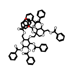 O=C(OCC1OC(OC(=O)c2ccccc2)C(OC(=O)c2ccccc2)C(OC(=O)c2ccccc2)C1OCC1(OC(=O)c2ccccc2)COC(COC(=O)c2ccccc2)C(OC(=O)c2ccccc2)C1OC(=O)c1ccccc1)c1ccccc1